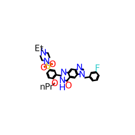 CCCOc1ccc(S(=O)(=O)N2CCN(CC)CC2)cc1-c1nc2cc3ncn(Cc4cccc(F)c4)c3cc2c(=O)[nH]1